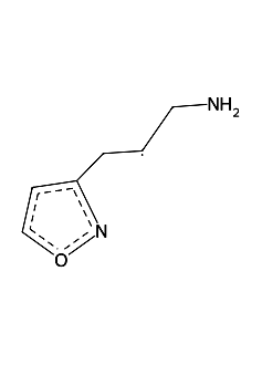 NC[CH]Cc1ccon1